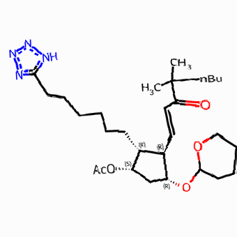 CCCCC(C)(C)C(=O)C=C[C@@H]1[C@@H](CCCCCCc2nnn[nH]2)[C@@H](OC(C)=O)C[C@H]1OC1CCCCO1